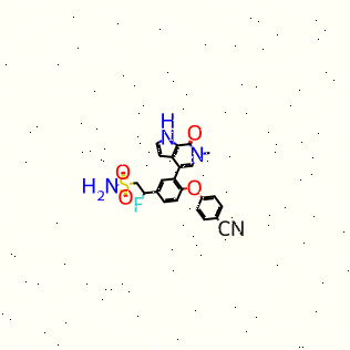 Cn1cc(-c2cc(C(F)CS(N)(=O)=O)ccc2Oc2ccc(C#N)cc2)c2cc[nH]c2c1=O